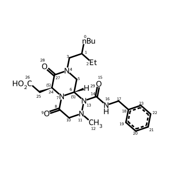 CCCCC(CC)CN1C[C@H]2N(C(=O)CN(C)N2C(=O)NCc2ccccc2)[C@@H](CC(=O)O)C1=O